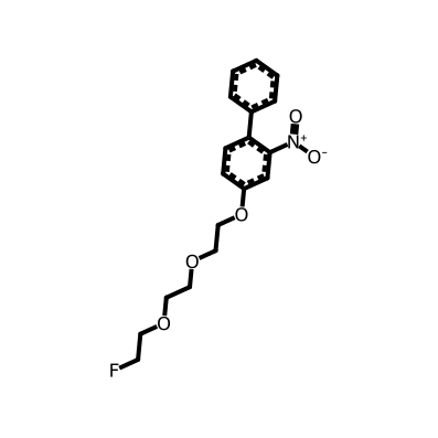 O=[N+]([O-])c1cc(OCCOCCOCCF)ccc1-c1ccccc1